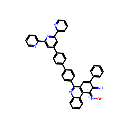 N=C1C(c2ccccc2)=Cc2c(-c3ccc(-c4ccc(-c5cc(-c6ccccn6)nc(-c6ccccn6)c5)cc4)cc3)nc3ccccc3c2/C1=N/O